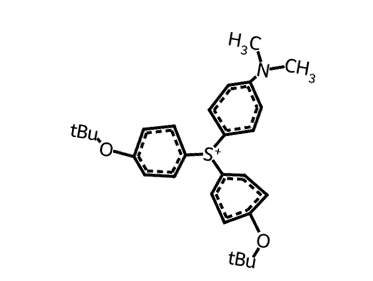 CN(C)c1ccc([S+](c2ccc(OC(C)(C)C)cc2)c2ccc(OC(C)(C)C)cc2)cc1